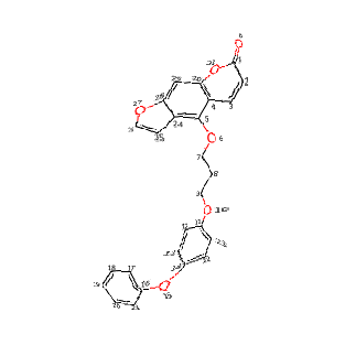 O=c1ccc2c(OCCCOc3ccc(Oc4ccccc4)cc3)c3ccoc3cc2o1